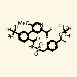 [2H]C([2H])([2H])O[C@@H](C)c1ccc(CS(=O)(=O)NC(=O)c2ccc(C([2H])([2H])[2H])cc2-c2cc(C(F)F)ncc2OC)cc1